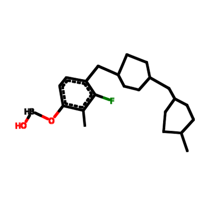 Cc1c(OBO)ccc(CC2CCC(CC3CCC(C)CC3)CC2)c1F